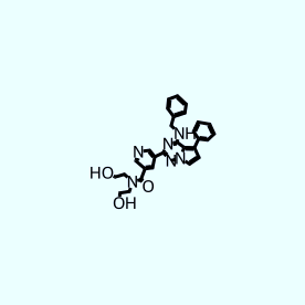 O=C(c1cncc(-c2nc(NCc3ccccc3)c3c(-c4ccccc4)ccn3n2)c1)N(CCO)CCO